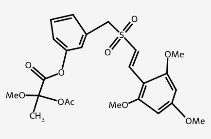 COc1cc(OC)c(C=CS(=O)(=O)Cc2cccc(OC(=O)C(C)(OC)OC(C)=O)c2)c(OC)c1